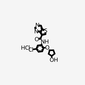 Cl.O=C(Nc1cc(Cl)ccc1OC1CCC(O)C1)c1csc2cncnc12